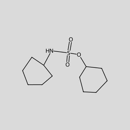 O=S(=O)(NC1CCCCC1)OC1CCCCC1